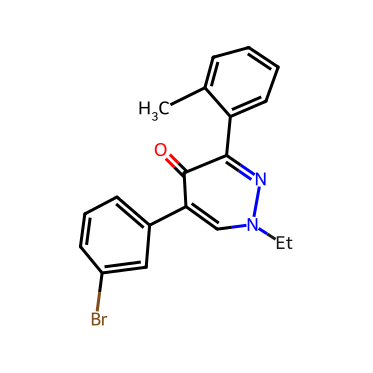 CCn1cc(-c2cccc(Br)c2)c(=O)c(-c2ccccc2C)n1